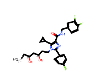 O=C(O)C[C@H](O)C[C@H](O)CCn1c(-c2ccc(F)cc2)nc(C(=O)NCc2ccc(F)c(F)c2)c1C1CC1